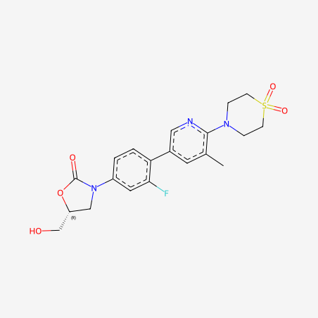 Cc1cc(-c2ccc(N3C[C@H](CO)OC3=O)cc2F)cnc1N1CCS(=O)(=O)CC1